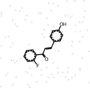 O=C(/C=C/c1ccc(O)cc1)c1ccccc1F